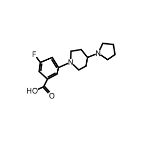 O=C(O)c1cc(F)cc(N2CCC(N3CCCC3)CC2)c1